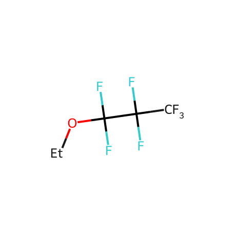 CCOC(F)(F)C(F)(F)C(F)(F)F